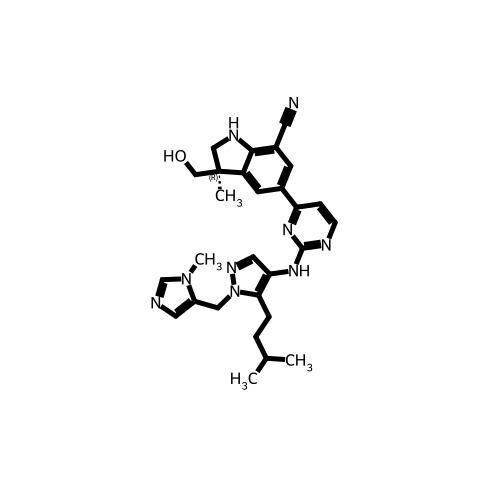 CC(C)CCc1c(Nc2nccc(-c3cc(C#N)c4c(c3)[C@@](C)(CO)CN4)n2)cnn1Cc1cncn1C